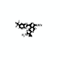 CNc1ncc(-c2nc3cc(C(C)(F)F)ccc3o2)c2cc(C3(C(N)=O)CC3)ncc12